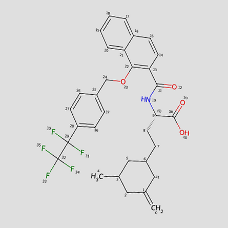 C=C1CC(C)CC(CC[C@H](NC(=O)c2ccc3ccccc3c2OCc2ccc(C(F)(F)C(F)(F)F)cc2)C(=O)O)C1